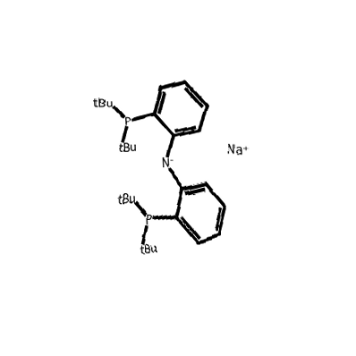 CC(C)(C)P(c1ccccc1[N-]c1ccccc1P(C(C)(C)C)C(C)(C)C)C(C)(C)C.[Na+]